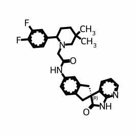 CC1(C)CCC(c2ccc(F)c(F)c2)N(CC(=O)Nc2ccc3c(c2)C[C@@]2(C3)C(=O)Nc3ncccc32)C1